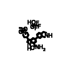 CCS(=O)(=O)N1CCC(c2c[nH]c3c(C(N)=O)cc(-c4ccc5c(c4)CNCC5)cc23)CC1.O=C(O)C(F)(F)F